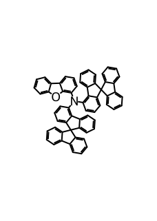 c1ccc2c(c1)-c1ccccc1C21c2ccccc2-c2c(N(c3cccc4c3-c3ccccc3C43c4ccccc4-c4ccccc43)c3cccc4c3oc3ccccc34)cccc21